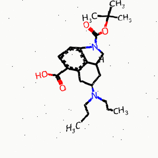 CCCN(CCC)[C@H]1Cc2c(C(=O)O)ccc3c2[C@H](C1)CN3C(=O)OC(C)(C)C